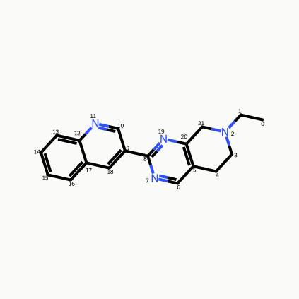 CCN1CCc2cnc(-c3cnc4ccccc4c3)nc2C1